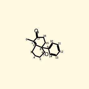 CC1=C2CCCC(=O)C2(c2ccccc2)CCC1=O